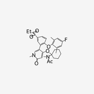 CCS(=O)(=O)c1ccc(Oc2c(C)cc(F)cc2C)c(-c2cn(C)c(=O)cc2OC2(N(C)C(C)=O)CCCCC2)c1